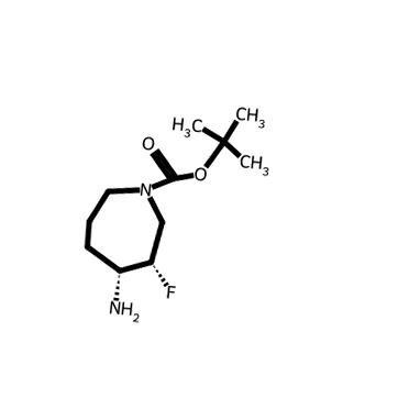 CC(C)(C)OC(=O)N1CCC[C@@H](N)[C@@H](F)C1